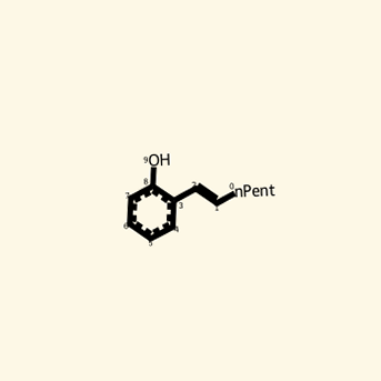 CCCCCC=Cc1ccccc1O